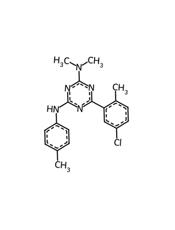 Cc1ccc(Nc2nc(-c3cc(Cl)ccc3C)nc(N(C)C)n2)cc1